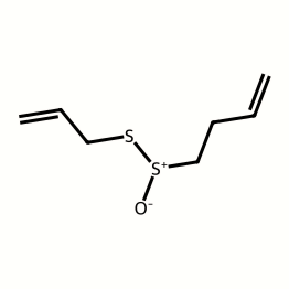 C=CCC[S+]([O-])SCC=C